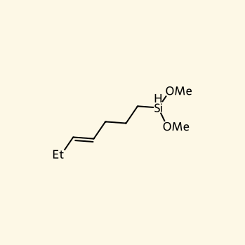 CCC=CCCC[SiH](OC)OC